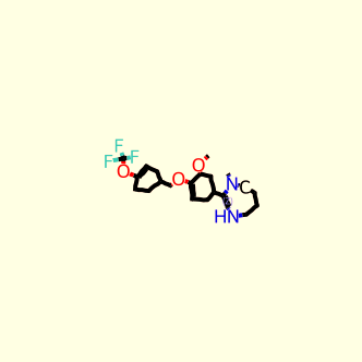 COC1CC(/C2=C/NCCCCN2C)CC=C1OCC1CC=C(OC(F)(F)F)CC1